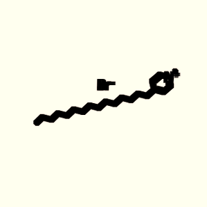 CCCCCCCCCCCCCCCc1cc[n+](C)cc1.[Br-]